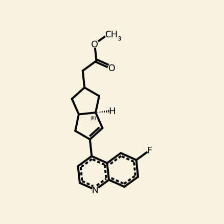 COC(=O)CC1CC2CC(c3ccnc4ccc(F)cc34)=C[C@@H]2C1